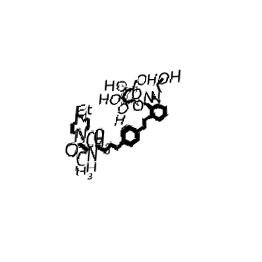 CCN1CCN(C(=O)C(C)(C)NC(=O)CCCc2ccc(CCc3cccc4c3c(O[C@@H]3O[C@H](CO)[C@@H](O)[C@H](O)[C@H]3O)nn4CCO)cc2)CC1